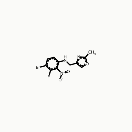 Cc1nc(CNc2ccc(Br)c(F)c2[N+](=O)[O-])co1